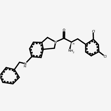 N[C@H](Cc1ccc(Cl)cc1Cl)C(=O)N1Cc2ccc(NCc3ccccc3)cc2C1